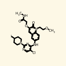 CNC(=O)COc1cc2cc(Nc3nc(N4CCC(I)CC4)ncc3Cl)ccc2n(CCOC)c1=O